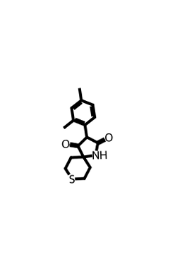 Cc1ccc(C2C(=O)NC3(CCSCC3)C2=O)c(C)c1